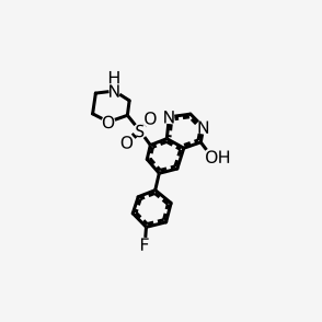 O=S(=O)(c1cc(-c2ccc(F)cc2)cc2c(O)ncnc12)C1CNCCO1